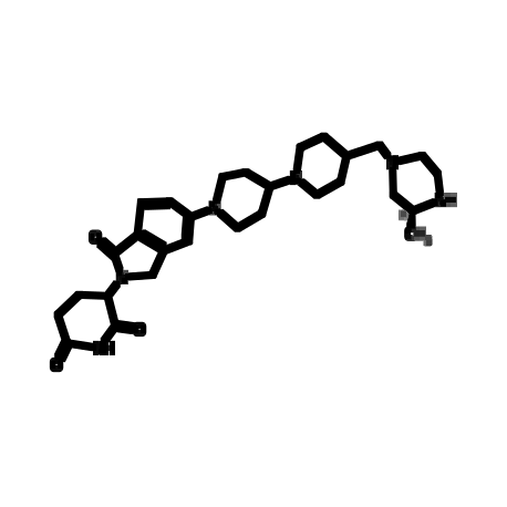 C[C@H]1CN(CC2CCN(C3CCN(c4ccc5c(c4)CN(C4CCC(=O)NC4=O)C5=O)CC3)CC2)CCN1